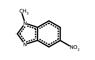 Cn1[c]nc2cc([N+](=O)[O-])ccc21